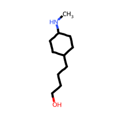 CNC1CCC(CCCCO)CC1